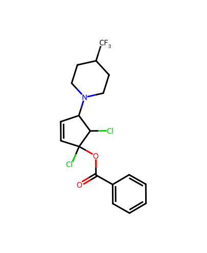 O=C(OC1(Cl)C=CC(N2CCC(C(F)(F)F)CC2)C1Cl)c1ccccc1